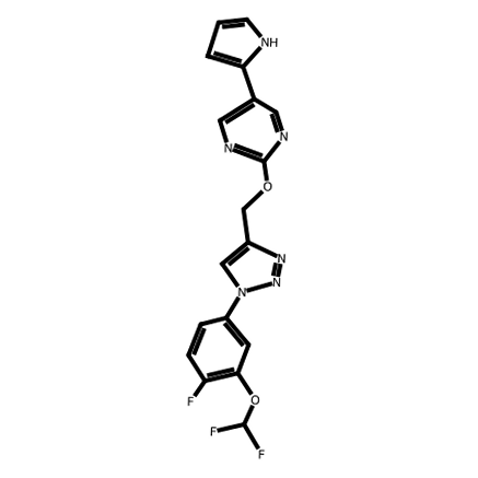 Fc1ccc(-n2cc(COc3ncc(-c4ccc[nH]4)cn3)nn2)cc1OC(F)F